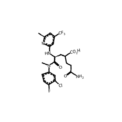 Cc1cc(C(F)(F)F)cc(N[C@@H](CC(CCC(N)=O)C(=O)O)C(=O)N(C)c2ccc(F)c(Cl)c2)n1